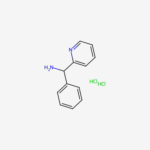 Cl.Cl.NC(c1ccccc1)c1ccccn1